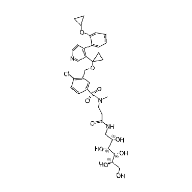 CN(CCC(=O)NC[C@H](O)[C@@H](O)[C@H](O)[C@H](O)CO)S(=O)(=O)c1ccc(Cl)c(COC2(c3cnccc3-c3ccccc3OC3CC3)CC2)c1